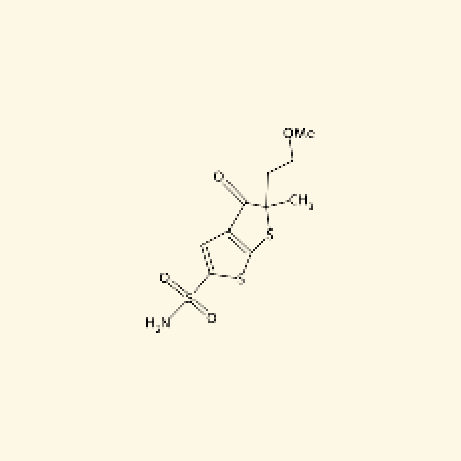 COCCC1(C)Sc2sc(S(N)(=O)=O)cc2C1=O